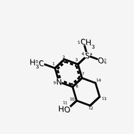 Cc1cc([S+](C)[O-])c2c(n1)C(O)CCC2